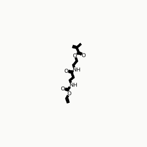 C=COC(=O)NCCC(=O)NCCOC(=O)C(=C)C